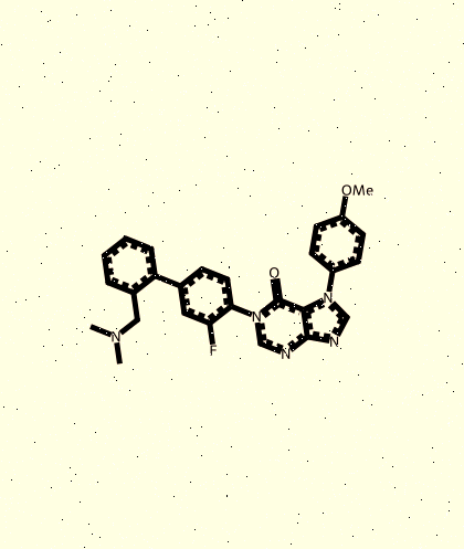 COc1ccc(-n2cnc3ncn(-c4ccc(-c5ccccc5CN(C)C)cc4F)c(=O)c32)cc1